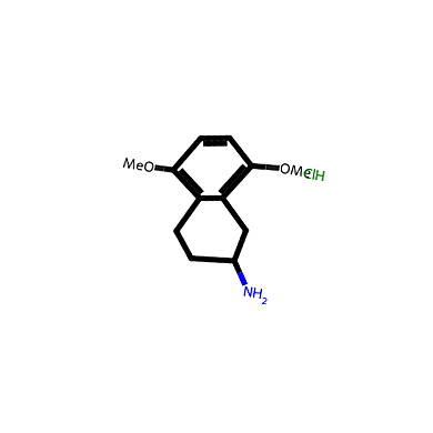 COc1ccc(OC)c2c1CCC(N)C2.Cl